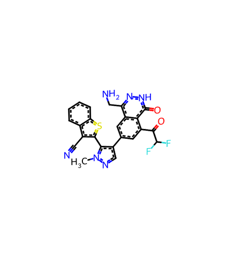 Cn1ncc(-c2cc(C(=O)C(F)F)c3c(=O)[nH]nc(CN)c3c2)c1-c1sc2ccccc2c1C#N